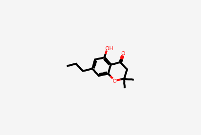 CCCc1cc(O)c2c(c1)OC(C)(C)CC2=O